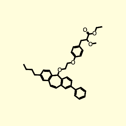 CCCCc1ccc2c(c1)C=Cc1cc(-c3ccccc3)ccc1C2OCCOc1ccc(CC(OC)C(=O)OCC)cc1